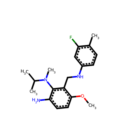 COc1ccc(N)c(N(C)C(C)C)c1CNc1ccc(C)c(F)c1